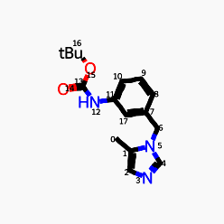 Cc1cncn1Cc1cccc(NC(=O)OC(C)(C)C)c1